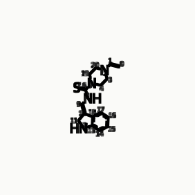 C=CN1CCN(C(=S)N/C=C2/CNc3ccccc32)CC1